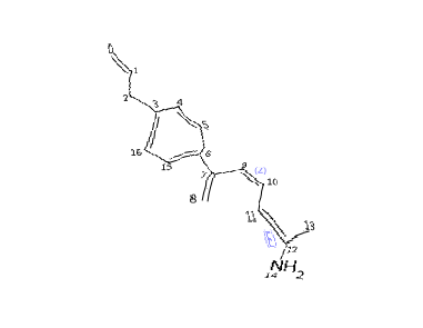 C=CCc1ccc(C(=C)/C=C\C=C(/C)N)cc1